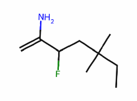 C=C(N)C(F)CC(C)(C)CC